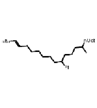 [CH2]CCCC=CCCCCCCC(CC)CCCC(C)CCCCCCC[CH2]